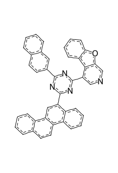 c1ccc2cc(-c3nc(-c4cc5c6ccccc6ccc5c5ccccc45)nc(-c4cncc5oc6ccccc6c45)n3)ccc2c1